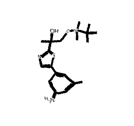 Cc1cc(N)cc(-c2cnc(C(C)(O)CO[Si](C)(C)C(C)(C)C)s2)c1